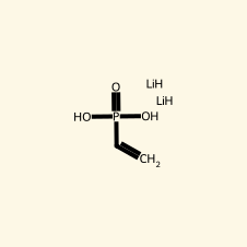 C=CP(=O)(O)O.[LiH].[LiH]